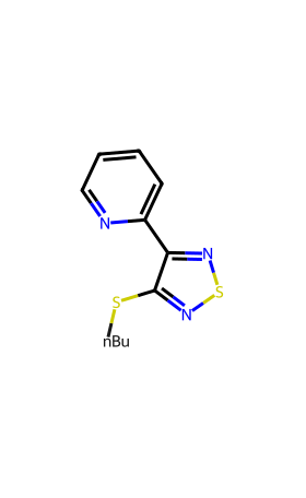 CCCCSc1nsnc1-c1ccccn1